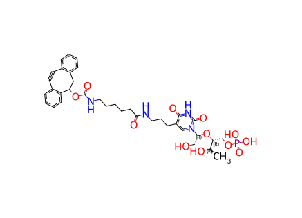 C[C@@H](O)[C@@H](COP(=O)(O)O)O[C@H](CO)n1cc(CCCNC(=O)CCCCCNC(=O)OC2Cc3ccccc3C#Cc3ccccc32)c(=O)[nH]c1=O